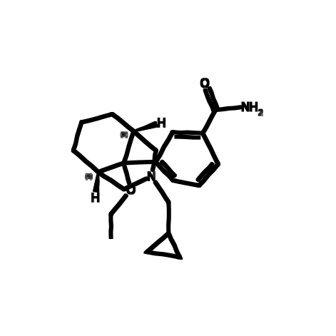 CCOC1(c2cccc(C(N)=O)c2)[C@@H]2CCC[C@H]1CN(CC1CC1)C2